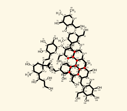 CC1C(O)[C@H](O[C@@H]2OC(CO[C@]3(C(=O)O)C[C@@H](O)[C@@H](N)C([C@H](O)[C@H](O)CO)O3)[C@H](O)[C@H](O)C2O)[C@H](CO)O[C@H]1O[C@@H]1C(O)[C@H](O)C(CO)O[C@@H]1OCC1O[C@@H](O[C@@H]2C(CO)O[C@@H](O[C@@H]3C(CO)O[C@@H](C)[C@@H](C)C3O)[C@@H](C)C2O)[C@H](O)C(O[C@H]2O[C@H](CO)[C@@H](O)C(O)C2O[C@@H]2OC(CO)[C@@H](O[C@@H]3OC(CO)[C@H](O)C(O)[C@@H]3O)[C@H](O)C2C)[C@@H]1O